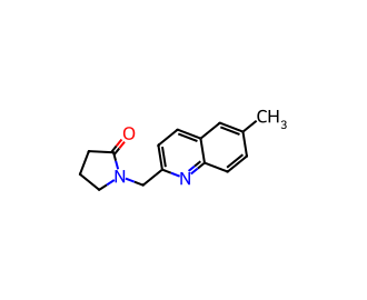 Cc1ccc2nc(CN3CCCC3=O)ccc2c1